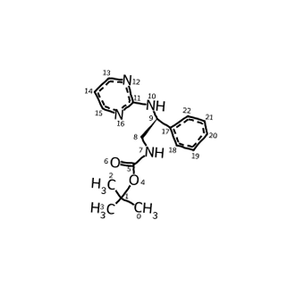 CC(C)(C)OC(=O)NC[C@@H](Nc1ncccn1)c1ccccc1